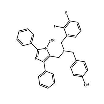 CCCCn1c(-c2ccccc2)nc(-c2ccccc2)c1CN(Cc1ccc(O)cc1)Cc1cccc(F)c1F